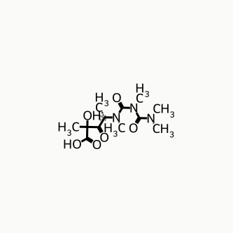 C[C@@H](C(=O)C(C)(O)C(=O)O)N(C)C(=O)N(C)C(=O)N(C)C